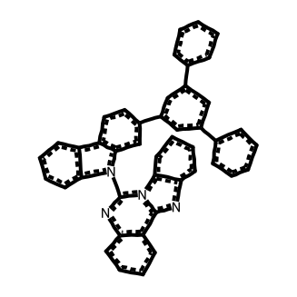 c1ccc(-c2cc(-c3ccccc3)cc(-c3ccc4c5ccccc5n(-c5nc6ccccc6c6nc7ccccc7n56)c4c3)c2)cc1